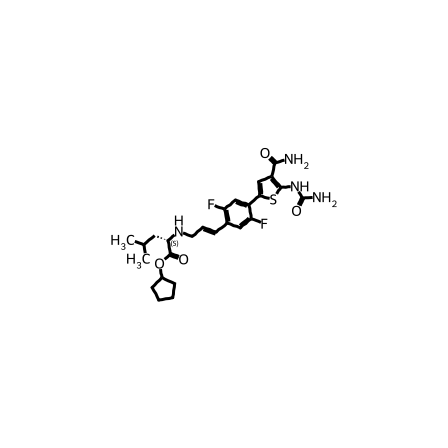 CC(C)C[C@H](NCC=Cc1cc(F)c(-c2cc(C(N)=O)c(NC(N)=O)s2)cc1F)C(=O)OC1CCCC1